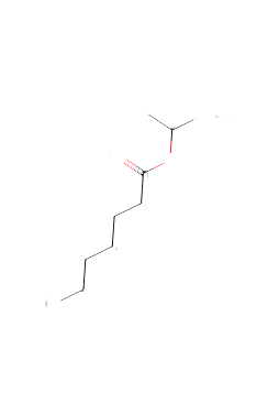 CCCCCCCC(C)OC(=O)CCCCCC(C)C